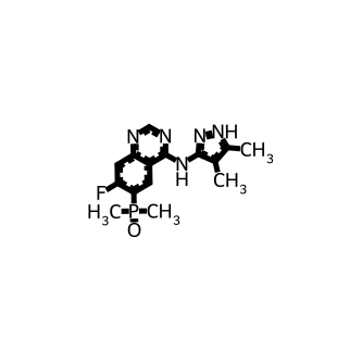 Cc1[nH]nc(Nc2ncnc3cc(F)c(P(C)(C)=O)cc23)c1C